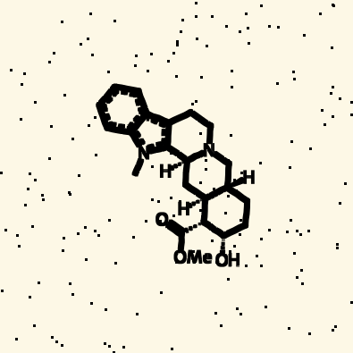 COC(=O)[C@@H]1[C@H]2C[C@H]3c4c(c5ccccc5n4C)CCN3C[C@@H]2CC[C@@H]1O